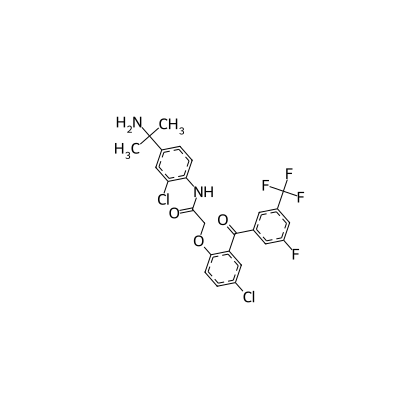 CC(C)(N)c1ccc(NC(=O)COc2ccc(Cl)cc2C(=O)c2cc(F)cc(C(F)(F)F)c2)c(Cl)c1